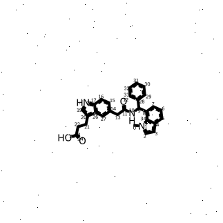 Cn1ccc2cccc(C(NC(=O)Cc3ccc4[nH]cc(CCC(=O)O)c4c3)c3ccccc3)c21